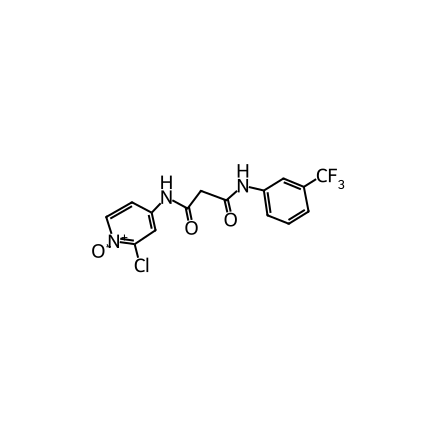 O=C(CC(=O)Nc1cc[n+]([O-])c(Cl)c1)Nc1cccc(C(F)(F)F)c1